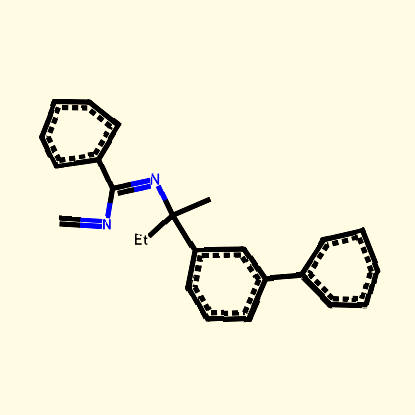 C=N/C(=N\C(C)(CC)c1cccc(-c2ccccc2)c1)c1ccccc1